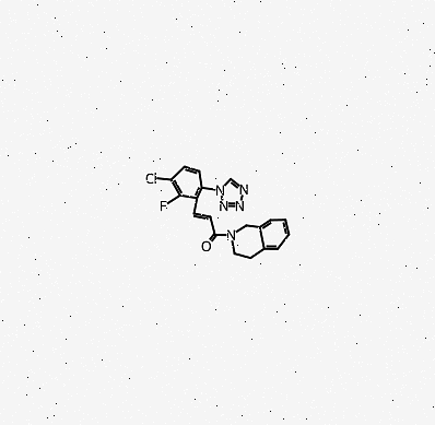 O=C(C=Cc1c(-n2cnnn2)ccc(Cl)c1F)N1CCc2ccccc2C1